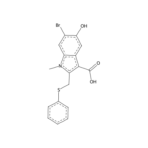 Cn1c(CSc2ccccc2)c(C(=O)O)c2cc(O)c(Br)cc21